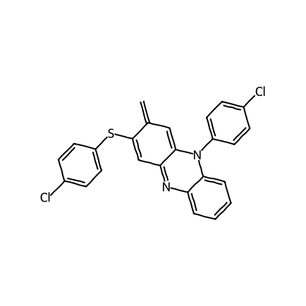 C=c1cc2c(cc1Sc1ccc(Cl)cc1)=Nc1ccccc1N2c1ccc(Cl)cc1